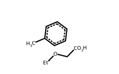 CCOCC(=O)O.Cc1ccccc1